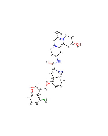 C[C@@H](CN1CCC(NC(=O)c2cc3c(OCc4coc5cccc(Cl)c45)cccc3[nH]2)CC1)N1CCC(O)CC1